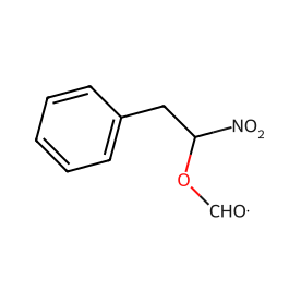 O=[C]OC(Cc1ccccc1)[N+](=O)[O-]